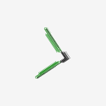 Cl.Cl.Cl.Cl.Cl.Cl.Cl.Cl.Cl.Cl.Cl.Cl.Cl.Cl.Cl.Cl.Cl.Cl.Cl.Cl.Cl.Cl.Cl.Cl.Cl.Cl.Cl.Cl.Cl.Cl.[Cl-].[Cl-].[Cl-].[Cl-].[Cl-].[Cl-].[Cl-].[Cl-].[Cl-].[Cl-].[Na+].[Na+].[Na+].[Na+].[Na+].[Na+].[Na+].[Na+].[Na+].[Na+]